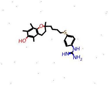 Cc1c(C)c2c(c(C)c1O)CCC(C)(CCCCSc1ccc(NC(=N)N)cc1)O2